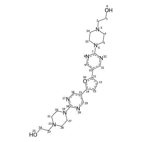 OCCN1CCN(c2ncc(-c3ccc(-c4cnc(N5CCN(CCO)CC5)nc4)o3)cn2)CC1